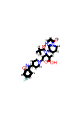 CC(C(=O)O)C(CCN1CCC(c2noc3cc(F)ccc23)CC1)N(C(=O)C(C)(C)C)C1CCCn2c1nccc2=O